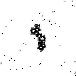 O=C(CN1CCCN(S(=O)(=O)c2ccccc2F)CC1)N1CCC(O)C2CCCC=C21